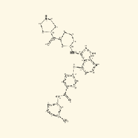 Cc1ccnc(NC(=O)c2ccc(Oc3ccnc4[nH]nc(NC5CCCN(C(=O)C6CCNCC6)C5)c34)cc2)c1